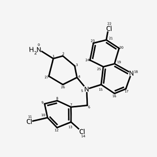 NC1CCC(N(Cc2ccc(Cl)cc2Cl)c2ccnc3cc(Cl)ccc23)CC1